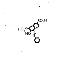 O=S(=O)(O)c1ccc2c(/N=N/c3ccccc3)c(O)c(S(=O)(=O)O)cc2c1